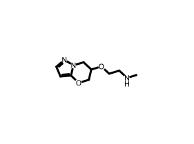 CNCCOC1COc2ccnn2C1